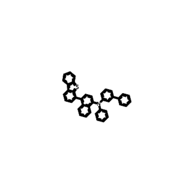 c1ccc(-c2cccc(N(c3ccccc3)c3ccc(-c4cccc5c4sc4ccccc45)c4ccccc34)c2)cc1